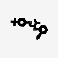 CN(C)C(CNc1ccc(C(C)(C)C)cc1)Nc1ccccc1C#N